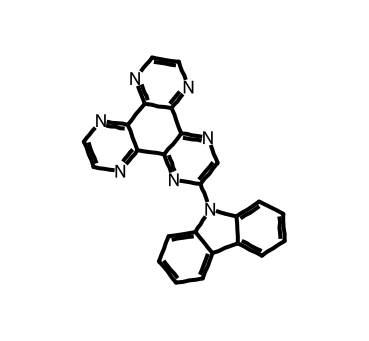 c1ccc2c(c1)c1ccccc1n2-c1cnc2c3nccnc3c3nccnc3c2n1